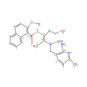 CCOc1ccc2ccccc2c1C(=O)SC(CCO)=C(C)N(C=O)Cc1cnc(C)nc1N